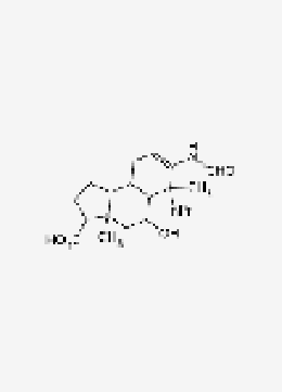 CCCC1(C)C(NC=O)=CCC2C1C(O)CC1(C)C(C(=O)O)CCC21